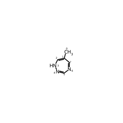 CC1=CNN=CN=C1